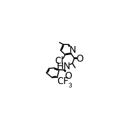 Cc1cnc(C(=O)C(C)NC(=O)c2ccccc2C(F)(F)F)c(Cl)c1